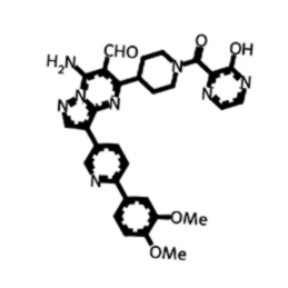 COc1ccc(-c2ccc(-c3cnn4c(N)c(C=O)c(C5CCN(C(=O)c6nccnc6O)CC5)nc34)cn2)cc1OC